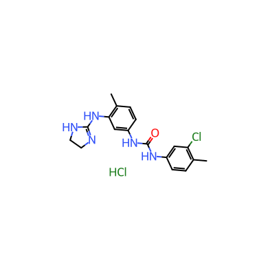 Cc1ccc(NC(=O)Nc2ccc(C)c(NC3=NCCN3)c2)cc1Cl.Cl